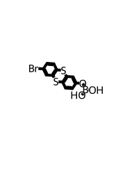 OB(O)Oc1ccc2c(c1)Sc1ccc(Br)cc1S2